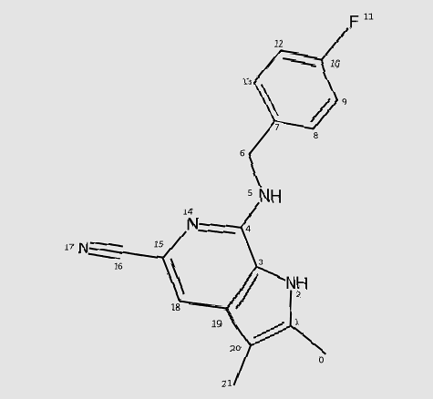 Cc1[nH]c2c(NCc3ccc(F)cc3)nc(C#N)cc2c1C